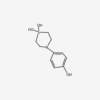 Oc1ccc(N2CCS(O)(O)CC2)cc1